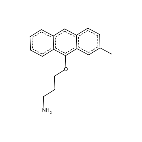 Cc1ccc2cc3ccccc3c(OCCCN)c2c1